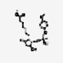 COC(=O)CCCCCC[C@H]1C(=O)C[C@H](O)[C@@H]1C#CC(C)(O)COc1ccc(OC)cc1